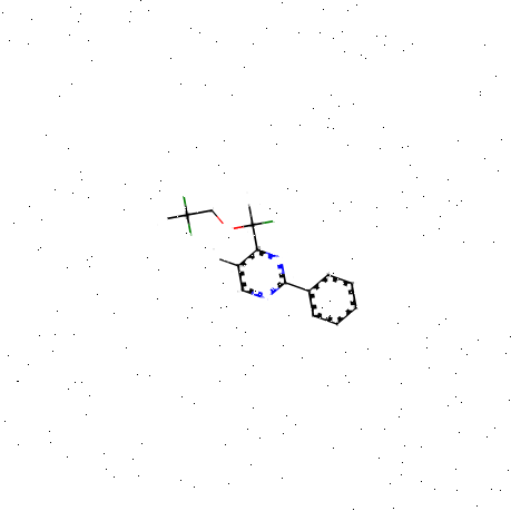 CC(F)(F)COC(F)(c1nc(-c2ccccc2)ncc1C(=O)O)C(F)(F)F